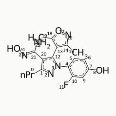 CCCc1nn(-c2ccc(O)cc2F)c(-c2c(C)noc2C)c1/C(N)=N/O